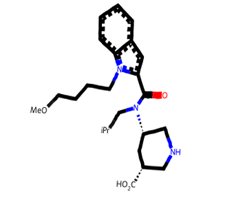 COCCCCn1c(C(=O)N(CC(C)C)[C@@H]2CNC[C@H](C(=O)O)C2)cc2ccccc21